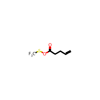 C=CCCC(=O)OSC(F)(F)F